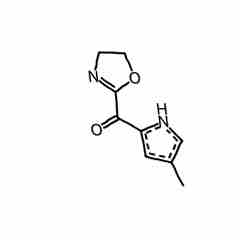 Cc1c[nH]c(C(=O)C2=NCCO2)c1